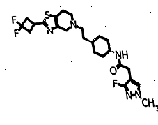 Cn1cc(CC(=O)N[C@H]2CC[C@H](CCN3CCc4sc(C5CC(F)(F)C5)nc4C3)CC2)c(F)n1